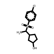 NC(C1CCC(O)C1)S(=O)(=O)c1ccc(Cl)cc1